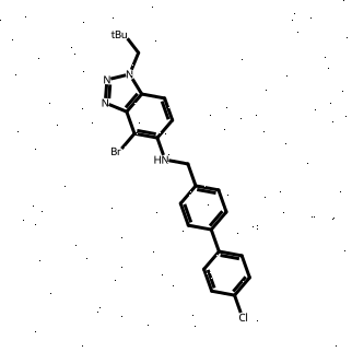 CC(C)(C)Cn1nnc2c(Br)c(NCc3ccc(-c4ccc(Cl)cc4)cc3)ccc21